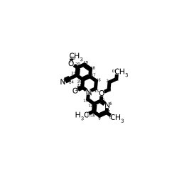 CCCCOc1nc(C)cc(C)c1CN1CCc2ccc(OC)c(C#N)c2C1=O